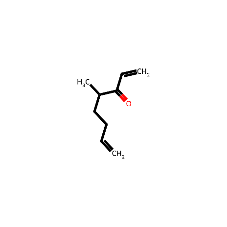 C=CCCC(C)C(=O)C=C